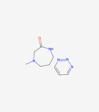 CN1CCCNC(=O)C1.c1cnnnc1